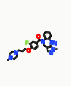 CN1CCN(CCCOc2ccc(C(=O)N3Cc4cnn(C)c4Nc4ccccc43)cc2F)CC1